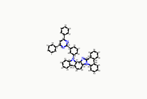 c1ccc(-c2cc(-c3ccccc3)nc(-c3cccc(-n4c5ccccc5c5ccc6c(nc7c8ccccc8c8ccccc8n67)c54)c3)n2)cc1